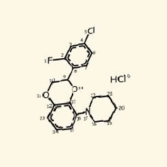 Cl.Fc1cc(Cl)ccc1C1COc2cccc(N3CCCCC3)c2O1